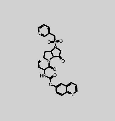 CC(C)CC(NC(=O)Oc1ccc2ncccc2c1)C(=O)N1CCC2C1C(=O)CN2S(=O)(=O)Cc1cccnc1